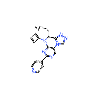 CC[C@@H]1c2nncn2-c2cnc(-c3ccncc3)nc2N1C1=CC=C1